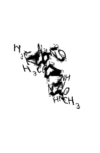 CNC(=O)c1ccnc(NC2CCC(Oc3cc(N4CCOCC4)cc4nc(C)nc(C)c34)CC2)n1